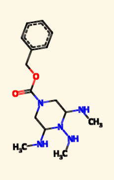 CNC1CN(C(=O)OCc2ccccc2)CC(NC)N1NC